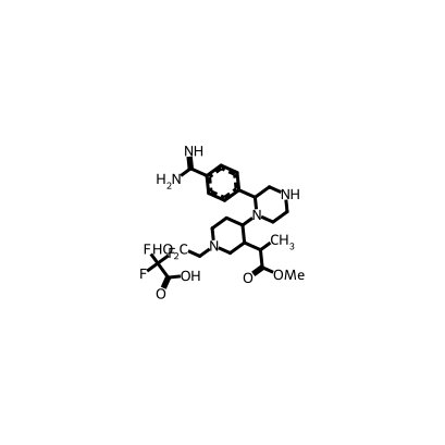 COC(=O)C(C)C1CN(CC(=O)O)CCC1N1CCNCC1c1ccc(C(=N)N)cc1.O=C(O)C(F)(F)F